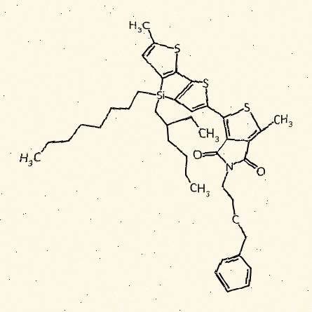 CCCCCCCC[Si]1(CC(CC)CCCC)c2cc(C)sc2-c2sc(-c3sc(C)c4c3C(=O)N(CCCCc3ccccc3)C4=O)cc21